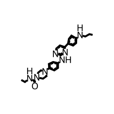 CCCNc1ccc(-c2ccnc(Nc3ccc(N4CCN(C(=O)NCC)CC4)cc3)n2)cc1